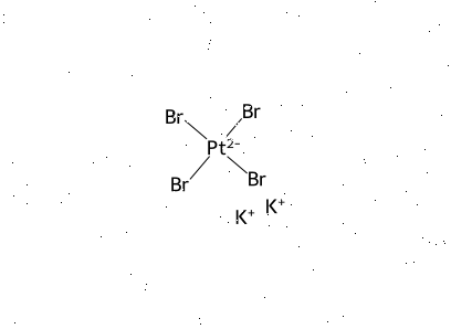 [Br][Pt-2]([Br])([Br])[Br].[K+].[K+]